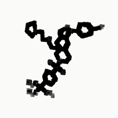 CC(C)(C)c1ccc(S(=O)(=O)N2CCC3=Cc4c(cnn4-c4ccc(F)cc4)CC3(COCCN3CCCC3)C2)cc1